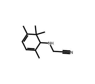 CC1=CC=C(C)C(C)(C)C1NCC#N